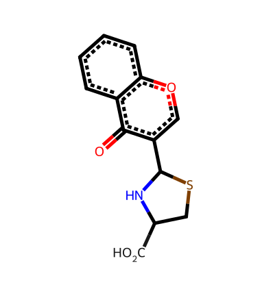 O=C(O)C1CSC(c2coc3ccccc3c2=O)N1